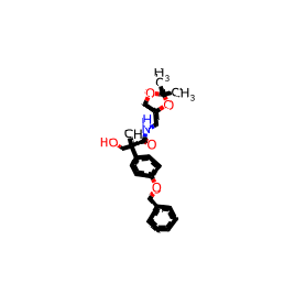 CC1(C)OCC(CNC(=O)C(C)(CO)c2ccc(OCc3ccccc3)cc2)O1